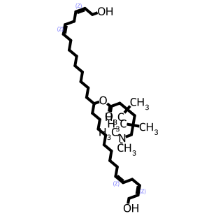 CN(C)CC(C)(C)CC(C)(C)CC(=O)OC(CCCCCCCC/C=C\C/C=C\CO)CCCCCCCC/C=C\C/C=C\CO